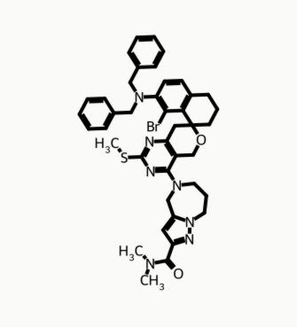 CSc1nc2c(c(N3CCCn4nc(C(=O)N(C)C)cc4C3)n1)COC1(CCCc3ccc(N(Cc4ccccc4)Cc4ccccc4)c(Br)c31)C2